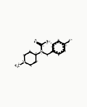 CN1CCC(N(Cc2ccc(F)cc2)C(N)=O)CC1